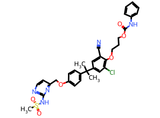 CC(C)(c1ccc(OCc2ccnc(NS(C)(=O)=O)n2)cc1)c1cc(Cl)c(OCCCOC(=O)Nc2ccccc2)c(C#N)c1